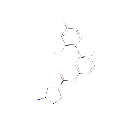 COc1cc(F)ccc1-c1cc(NC(=O)[C@H]2CC[C@@H](N)C2)ncc1F